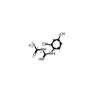 N#Cc1ccc(NC(=N)NC(N)=O)c(Cl)c1